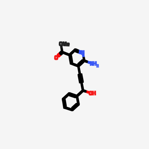 COC(=O)c1cnc(N)c(C#CC(O)c2ccccc2)c1